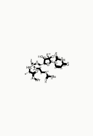 CC(C)OC(=O)[C@H](C)N[P@@](=S)(OCCSC(=O)C(C)(C)C)OC[C@H]1O[C@@H](n2ccc(=O)[nH]c2=O)[C@@](F)(Cl)[C@@H]1O